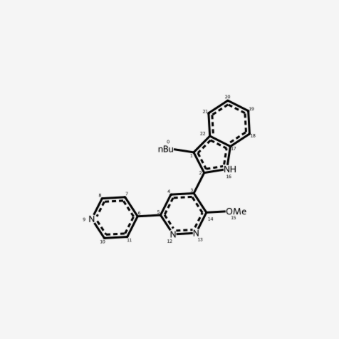 CCCCc1c(-c2cc(-c3ccncc3)nnc2OC)[nH]c2ccccc12